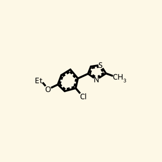 CCOc1ccc(-c2csc(C)n2)c(Cl)c1